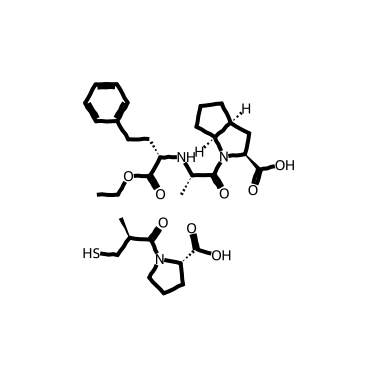 CCOC(=O)[C@H](CCc1ccccc1)N[C@@H](C)C(=O)N1[C@H](C(=O)O)C[C@@H]2CCC[C@@H]21.C[C@H](CS)C(=O)N1CCC[C@H]1C(=O)O